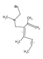 C=C(C)/C(CN(C)CC(C)CC)=C(C)\C=C/C